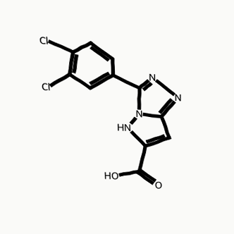 O=C(O)c1cc2nnc(-c3ccc(Cl)c(Cl)c3)n2[nH]1